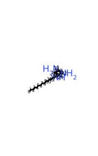 CCCCCCCCCCCCCCNc1c(C)c(N)cc(N)c1C